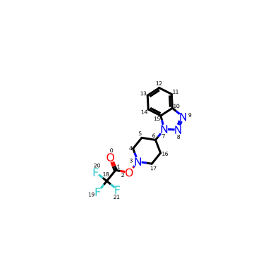 O=C(ON1CCC(n2nnc3ccccc32)CC1)C(F)(F)F